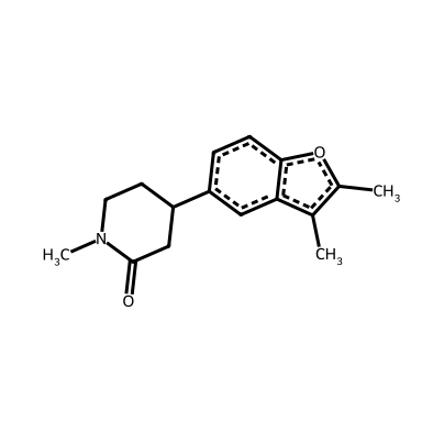 Cc1oc2ccc(C3CCN(C)C(=O)C3)cc2c1C